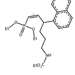 CCOC(=O)NCCCC(/C=C\P(=O)(OCC)OCC)c1cccc2ccccc12